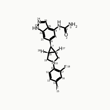 NC(=O)Nc1cc([C@H]2[C@@H]3CN(c4ccc(F)cc4F)C[C@@H]32)cc2[nH]ncc12